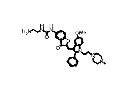 COc1ccc2c(c1)c(/C=C1\Oc3ccc(NC(=O)NCCN)cc3C1=O)c(-c1ccccc1)n2CCN1CCN(C)CC1